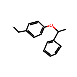 [CH2]Cc1ccc(OC(C)c2ccccc2)cc1